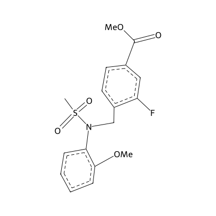 COC(=O)c1ccc(CN(c2ccccc2OC)S(C)(=O)=O)c(F)c1